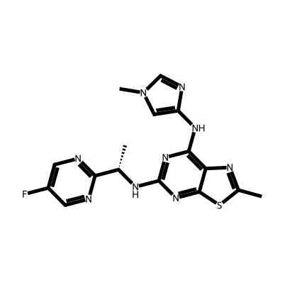 Cc1nc2c(Nc3cn(C)cn3)nc(N[C@@H](C)c3ncc(F)cn3)nc2s1